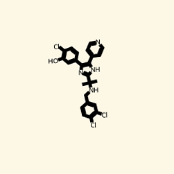 CC(C)(NCc1ccc(Cl)c(Cl)c1)c1nc(-c2ccc(Cl)c(O)c2)c(-c2ccncc2)[nH]1